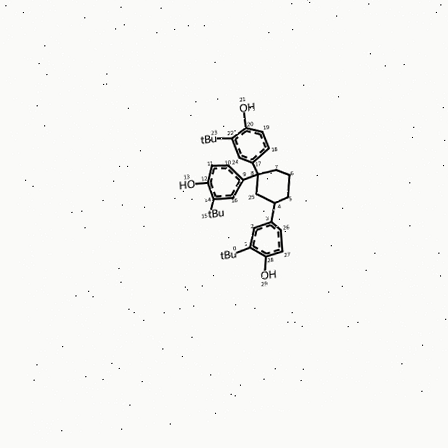 CC(C)(C)c1cc(C2CCCC(c3ccc(O)c(C(C)(C)C)c3)(c3ccc(O)c(C(C)(C)C)c3)C2)ccc1O